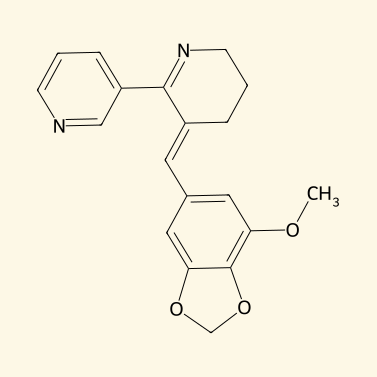 COc1cc(C=C2CCCN=C2c2cccnc2)cc2c1OCO2